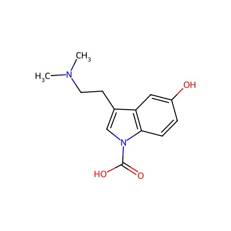 CN(C)CCc1cn(C(=O)O)c2ccc(O)cc12